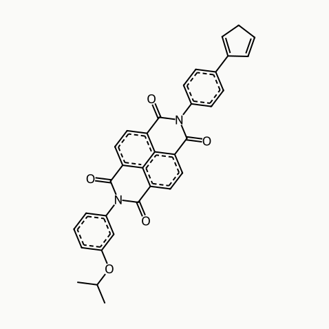 CC(C)Oc1cccc(N2C(=O)c3ccc4c5c(ccc(c35)C2=O)C(=O)N(c2ccc(C3=CCC=C3)cc2)C4=O)c1